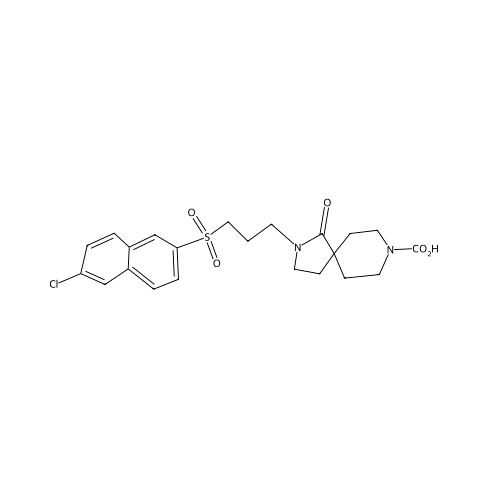 O=C(O)N1CCC2(CC1)CCN(CCCS(=O)(=O)c1ccc3cc(Cl)ccc3c1)C2=O